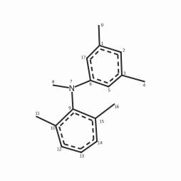 Cc1cc(C)cc(N(C)c2c(C)cccc2C)c1